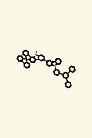 C1=CC2Nc3c(ccc4c3-c3ccccc3C43c4ccccc4-c4ccccc43)C2C=C1c1ccc2c(c1)c1ccccc1n2-c1cccc(-c2cc(-c3ccccc3)cc(-c3ccccc3)c2)c1